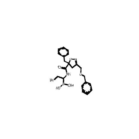 CC(C)CC(NC(=O)C1(Cc2ccccc2)CC(COCc2ccccc2)=NO1)B(O)O